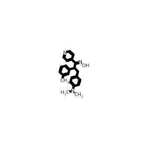 Cc1cccc(C(Cc2ccc(N(C)C)cc2)/C(=N\O)c2ccncc2)c1